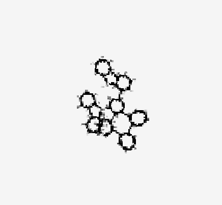 c1ccc2c(c1)-c1ccccc1-c1cc(-c3cccc4c3sc3ccccc34)cc(-n3c4ccccc4c4ccccc43)c1-c1ccccc1-2